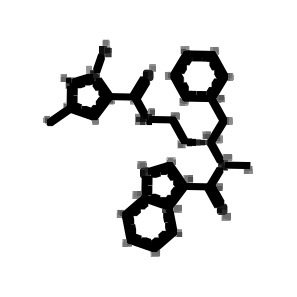 CCn1nc(C)cc1C(=O)NCC[C@H](Cc1ccccc1)N(C)C(=O)c1coc2ccccc12